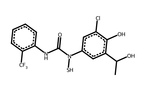 CC(O)c1cc(N(S)C(=O)Nc2ccccc2C(F)(F)F)cc(Cl)c1O